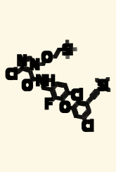 C[Si](C)(C)C#Cc1cc(Cl)cc(Oc2c(Cl)ccc(CNC(=O)c3c(Cl)ncn3COCC[Si](C)(C)C)c2F)c1